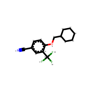 N#Cc1ccc(OCC2CCCCC2)c(C(F)(F)F)c1